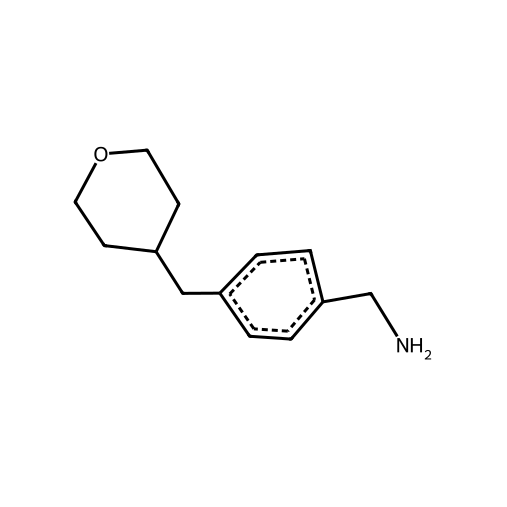 NCc1ccc(CC2CCOCC2)cc1